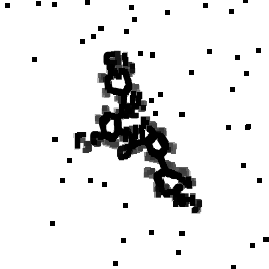 CN1CCC(N(C)c2ccc(C(F)(F)F)cc2NC(=O)c2cc(-c3cnc(N)nc3)ccc2F)CC1